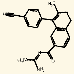 CC1=C(c2ccc(C#N)cc2)c2cc(C(=O)N=C(N)N)ccc2CC1